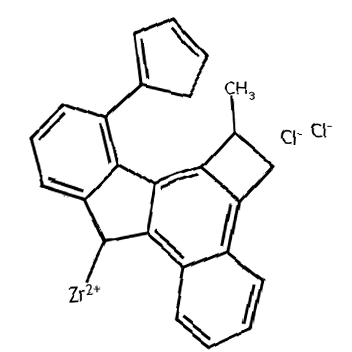 CC1Cc2c1c1c(c3ccccc23)[CH]([Zr+2])c2cccc(C3=CC=CC3)c2-1.[Cl-].[Cl-]